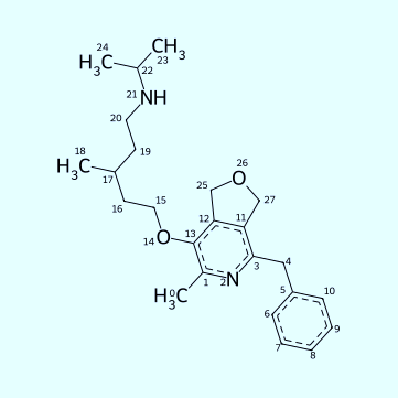 Cc1nc(Cc2ccccc2)c2c(c1OCCC(C)CCNC(C)C)COC2